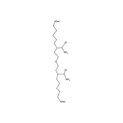 CCCCCCCCCCCCCCCC(CCOCCC(CCCCCCCCCCCCCCC)C(N)CC)C(N)CC